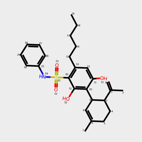 C=C(C)C1CCC(C)=CC1c1c(O)cc(CCCCC)c(S(=O)(=O)Nc2ccccc2)c1O